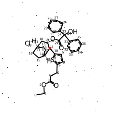 CCOC(=O)CCc1ccc(C[N+]2(C)[C@@H]3CC[C@H]2C[C@H](OC(=O)C(O)(c2ccccc2)c2ccccc2)C3)s1.[Cl-]